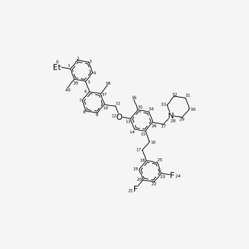 CCc1cccc(-c2cccc(COc3cc(CCc4cc(F)cc(F)c4)c(CN4CCCCC4)cc3C)c2C)c1C